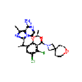 Cc1nc(C(C)c2cc(Cl)c(F)c(C(=O)N3CC4(CCOCC4)C3)c2OC(C)C)n2ccnc(N)c12